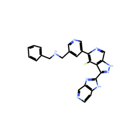 Fc1c(-c2cncc(CNCc3ccccc3)c2)ncc2[nH]nc(-c3nc4cnccc4[nH]3)c12